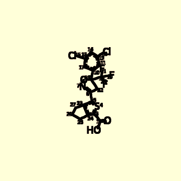 O=C(O)c1sc(C2=NOC(c3cc(Cl)cc(Cl)c3)(C(F)(F)F)C2)c2c1CCC2